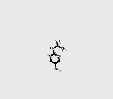 CC(C)Nc1ncc(N)cn1